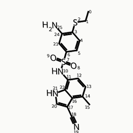 CCSc1ccc(S(=O)(=O)Nc2ccc(C)c3c(C#N)c[nH]c23)cc1N